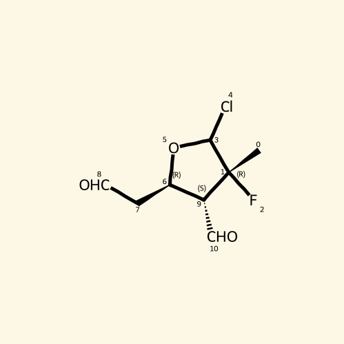 C[C@]1(F)C(Cl)O[C@H](CC=O)[C@H]1C=O